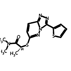 C[C@@H](Sc1ccc2nnc(-c3cccs3)n2n1)C(=O)N(C)C